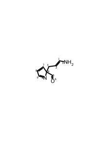 NC=CCC1(C=O)C=CC=N1